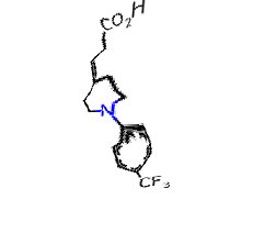 O=C(O)CCC=C1CCN(c2ccc(C(F)(F)F)cc2)CC1